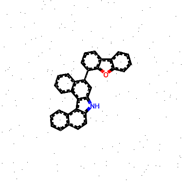 c1ccc2c(c1)ccc1[nH]c3cc(-c4cccc5c4oc4ccccc45)c4ccccc4c3c12